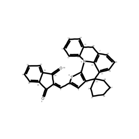 O=C1C(=Cc2cc3c(s2)N2c4ccccc4Cc4cccc(c42)C32CCCCC2)C(=O)c2ccccc21